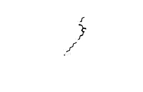 CCc1ncc(-c2csc(C=CC(=O)NCCCCCC(=O)NO)c2)s1